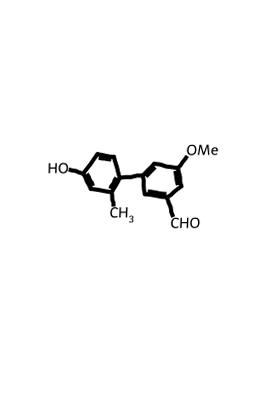 COc1cc(C=O)cc(-c2ccc(O)cc2C)c1